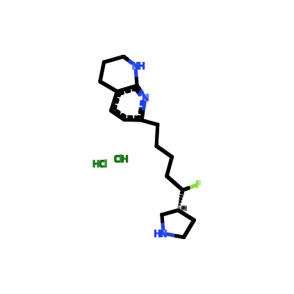 Cl.Cl.FC(CCCCc1ccc2c(n1)NCCC2)[C@@H]1CCNC1